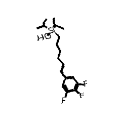 CC(C)[Si](O)(CCCCCCc1cc(F)c(F)c(F)c1)C(C)C